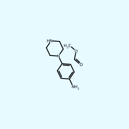 COC=O.Nc1ccc(N2CCNCC2)cc1